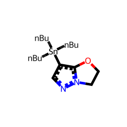 CCC[CH2][Sn]([CH2]CCC)([CH2]CCC)[c]1cnn2c1OCC2